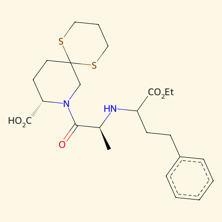 CCOC(=O)C(CCc1ccccc1)N[C@@H](C)C(=O)N1CC2(CC[C@H]1C(=O)O)SCCCS2